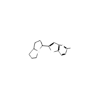 Cc1ccc2oc(C3CCC4CCCN43)cc2n1